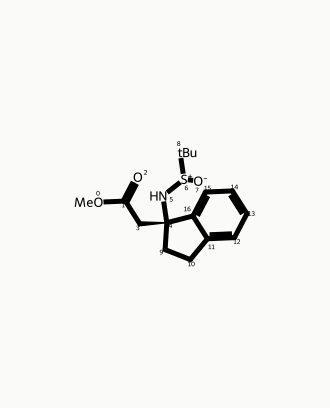 COC(=O)C[C@]1(N[S+]([O-])C(C)(C)C)CCc2ccccc21